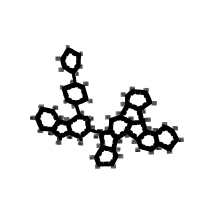 c1ccc(-c2ccc(-c3nc(-n4c5ccccc5c5c6c7ccc8ccccc8c7n7c8ccccc8c(cc54)c67)nc4sc5ccccc5c34)cc2)cc1